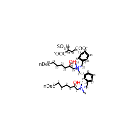 CCCCCCCCCCCCCCC(O)C[N+](C)(C)Cc1ccccc1.CCCCCCCCCCCCCCC(O)C[N+](C)(C)Cc1ccccc1.O=C([O-])CC(C(=O)[O-])S(=O)(=O)O